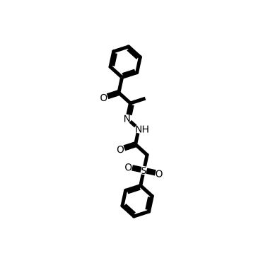 C/C(=N\NC(=O)CS(=O)(=O)c1ccccc1)C(=O)c1ccccc1